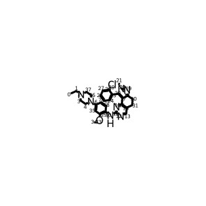 CCN1CCN(c2ccc(Nc3ncc4c(n3)-c3c(nn(C)c3-c3ccccc3Cl)CC4)c(OC)c2)CC1